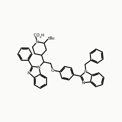 CC(C)(C)C1CC(C(COc2ccc(-c3nc4ccccc4n3Cc3ccccc3)cc2)n2c(-c3ccccc3)nc3ccccc32)CCN1C(=O)O